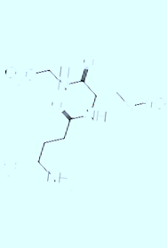 CCCCCCCCSC[C@H](NC(=O)CC[C@H](N)C(=O)O)C(=O)NCC(=O)O